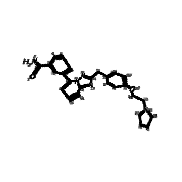 NC(=O)c1cccc(-c2cccc3nc(Cc4ccc(OCCN5CCCC5)cc4)nn23)c1